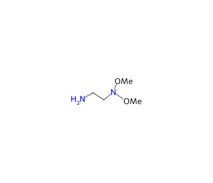 CON(CCN)OC